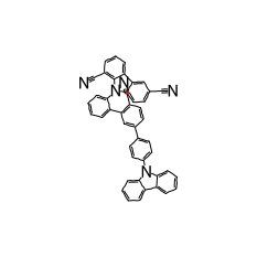 N#Cc1ccc2c(c1)c1cccc(C#N)c1n2-c1ccccc1-c1cc(-c2ccc(-n3c4ccccc4c4ccccc43)cc2)ccc1C#N